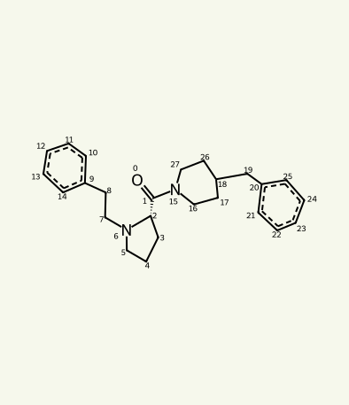 O=C([C@@H]1CCCN1CCc1ccccc1)N1CCC(Cc2ccccc2)CC1